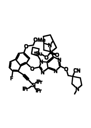 COCOc1cc(Oc2nc3nc(OCC4(C#N)CCN(C)C4)nc(N4CC5CCC(C4)N5C(=O)OC(C)(C)C)c3n2C2CCC2)c2c(C#C[Si](C(C)C)(C(C)C)C(C)C)c(F)ccc2c1